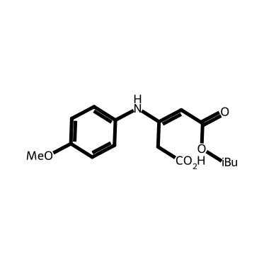 CCC(C)OC(=O)C=C(CC(=O)O)Nc1ccc(OC)cc1